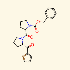 O=C(c1cccs1)[C@@H]1CCCN1C(=O)[C@@H]1CCCN1C(=O)OCc1ccccc1